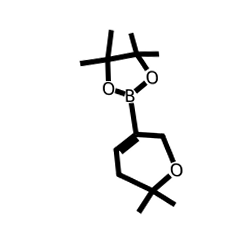 CC1(C)CC=C(B2OC(C)(C)C(C)(C)O2)CO1